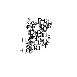 Cn1nc(NS(C)(=O)=O)c2c(Cl)ccc(-n3c([C@H](Cc4cc(F)cc(F)c4)NC(=O)Cn4nc(C(F)F)c5c4C(F)(F)[C@@H]4C[C@H]54)nc4cc(C(F)(F)C5CCC5)ccc4c3=O)c21